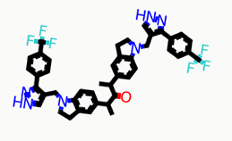 CC(C(=O)C(C)c1ccc2c(c1)CCN2Cc1c[nH]nc1-c1ccc(C(F)(F)F)cc1)c1ccc2c(c1)CCN2Cc1c[nH]nc1-c1ccc(C(F)(F)F)cc1